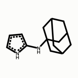 c1c[nH]c(NC23CC4CC(CC(C4)C2)C3)c1